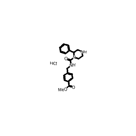 COC(=O)c1ccc(CNC(=O)N2CCNCC2c2ccccc2)cc1.Cl